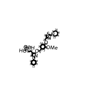 COc1cc(COc2nn(-c3ccccc3)cc2/C=C/P(=O)(O)O)ccc1OCc1csc(N2CCCCC2)n1